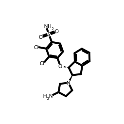 NC1CCN([C@@H]2Cc3ccccc3[C@H]2Oc2ccc(S(N)(=O)=O)c(Cl)c2Cl)C1